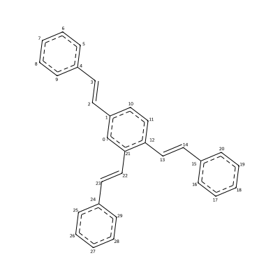 [c]1c(C=Cc2ccccc2)ccc(C=Cc2ccccc2)c1C=Cc1ccccc1